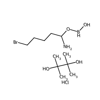 CC(C)(O)C(C)(C)O.Cl.NC(CCCCBr)OBO